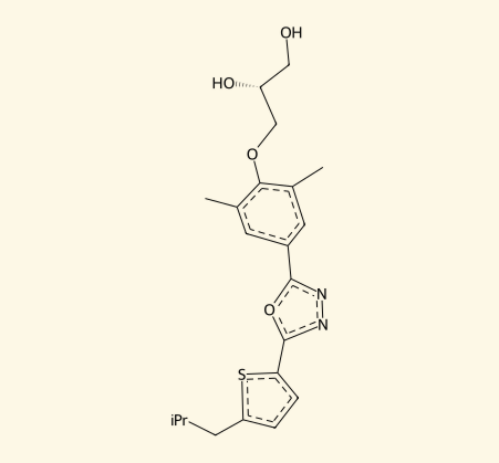 Cc1cc(-c2nnc(-c3ccc(CC(C)C)s3)o2)cc(C)c1OC[C@H](O)CO